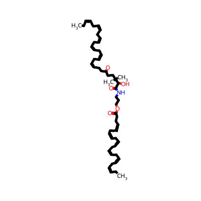 CC/C=C\C/C=C\C/C=C\C/C=C\C/C=C\C/C=C\CCC(=O)CCC(C)(C)C(O)C(=O)NCCCOC(=O)CC/C=C\C/C=C\C/C=C\C/C=C\C/C=C\C/C=C\CC